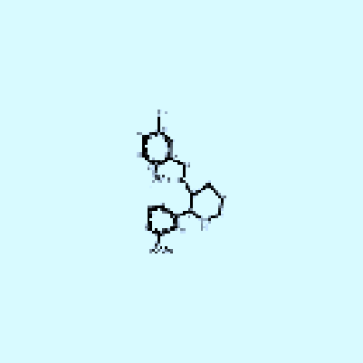 COc1cccc(C2NCCCC2NCc2cc(F)ccc2OC)c1